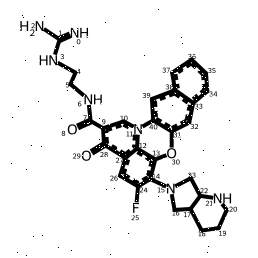 N=C(N)NCCNC(=O)c1cn2c3c(c(N4CC5CCCNC5C4)c(F)cc3c1=O)Oc1cc3ccccc3cc1-2